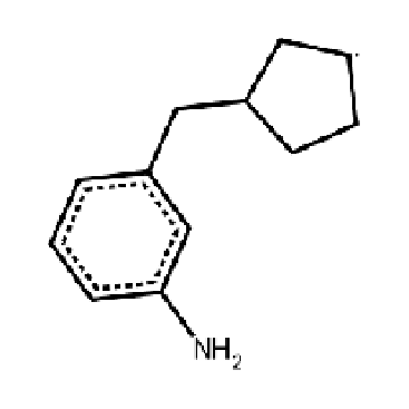 Nc1cccc(CC2C[CH]CC2)c1